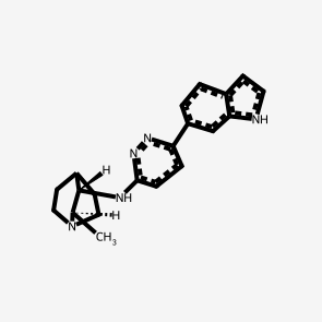 C[C@@H]1[C@@H](Nc2ccc(-c3ccc4cc[nH]c4c3)nn2)C2CCN1CC2